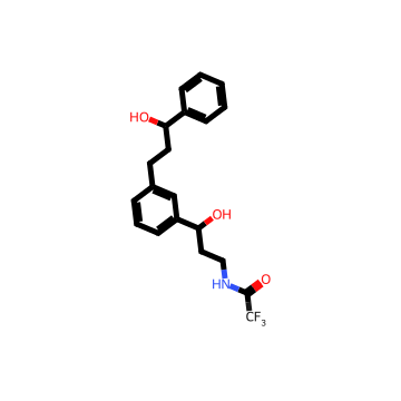 O=C(NCCC(O)c1cccc(CCC(O)c2ccccc2)c1)C(F)(F)F